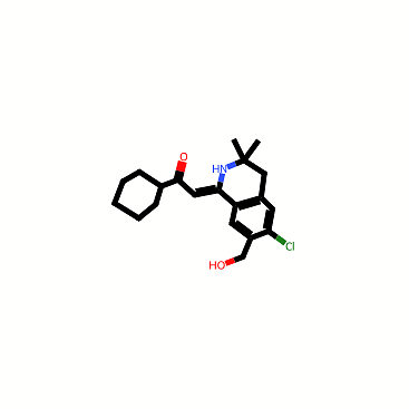 CC1(C)Cc2cc(Cl)c(CO)cc2C(=CC(=O)C2CCCCC2)N1